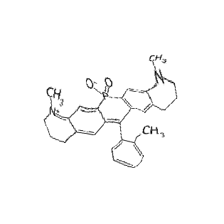 Cc1ccccc1C1=c2cc3c(cc2P(=O)([O-])c2cc4c(cc21)CCCN4C)=[N+](C)CCC3